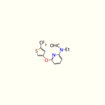 CCN(C=O)c1cccc(Oc2csc(C(F)(F)F)c2)n1